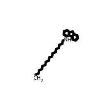 CCCCCCCCCCCCCCCCCCNc1cccc2c1-c1ccccc1C2